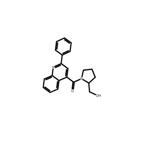 O=C(c1cc(-c2ccccc2)nc2ccccc12)N1CCCC1CO